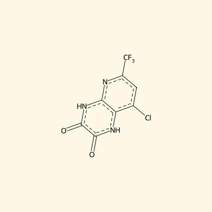 O=c1[nH]c2nc(C(F)(F)F)cc(Cl)c2[nH]c1=O